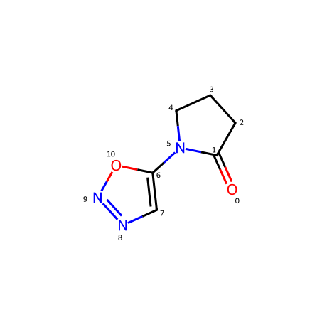 O=C1CCCN1c1cnno1